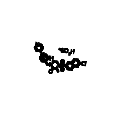 CC(=O)NC1CN(S(=O)(=O)c2ccc3cc(Cl)ccc3c2)C(C)C(=O)N1CC1CCN(c2ccncc2)CC1.CS(=O)(=O)O